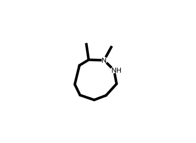 CC1CCCCCCNN1C